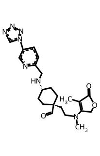 CC1=C(N(C)CC[C@]2(C=O)CC[C@@H](NCc3ccc(-n4cnnn4)cn3)CC2)COC1=O